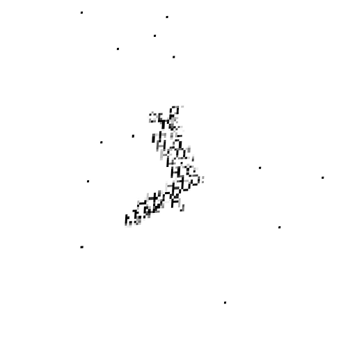 O.O.O.O.O.O.O.O.O.O=P([O-])([O-])[O-].[Na+].[Na+].[Na+]